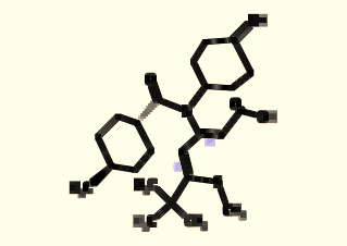 CS/C(=C\C(=C\C(=O)O)N(C(=O)[C@H]1CC[C@H](C)CC1)C1CCC(=N)CC1)C(C)(C)C